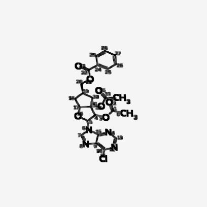 CC(=O)OC1C(n2cnc3c(Cl)ncnc32)OC2C[C@@H](COC(=O)c3ccccc3)CC21OC(C)=O